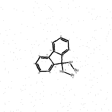 CCC(C)BC1(BC(C)C)c2ccccc2-c2ccccc21